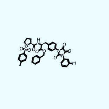 Cc1ccc(S(=O)(=O)N2CCC[C@H]2C(=O)N[C@@H](Cc2ccc(N3C(=O)C(=O)N(c4cccc(Cl)c4)C3=O)cc2)C(=O)OCc2ccccc2)cc1